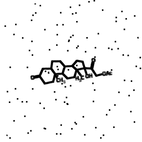 CC(=O)OCC(=O)C1(O)CCC2C3CCC4CC(=O)CCC4(C)C3CCC21C